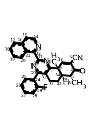 C[C@H]1C(=O)C(C#N)=C[C@@]2(C)c3nc(-c4nccc5ccccc45)nc(-c4ccccc4F)c3CC[C@H]12